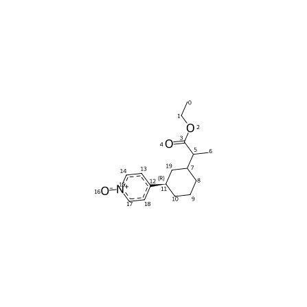 CCOC(=O)C(C)C1CCC[C@@H](c2cc[n+]([O-])cc2)C1